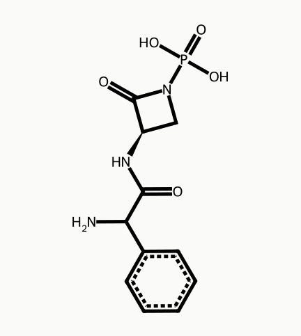 NC(C(=O)N[C@@H]1CN(P(=O)(O)O)C1=O)c1ccccc1